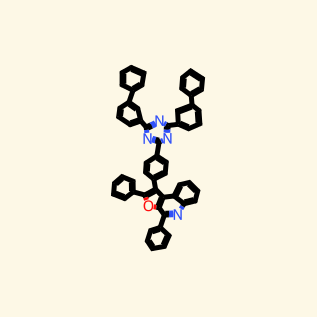 c1ccc(-c2cccc(-c3nc(-c4ccc(-c5c(-c6ccccc6)oc6c(-c7ccccc7)nc7ccccc7c56)cc4)nc(-c4cccc(-c5ccccc5)c4)n3)c2)cc1